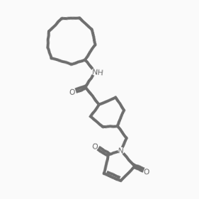 O=C(NC1CCCCCCCC1)C1CCC(CN2C(=O)C=CC2=O)CC1